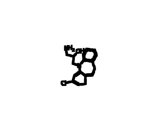 NCC(O)CN1C2=CC(Cl)=CCC2=CCc2ccccc21